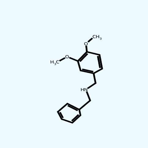 COc1ccc(CNCc2ccccc2)cc1OC